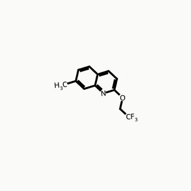 Cc1ccc2ccc(OCC(F)(F)F)nc2c1